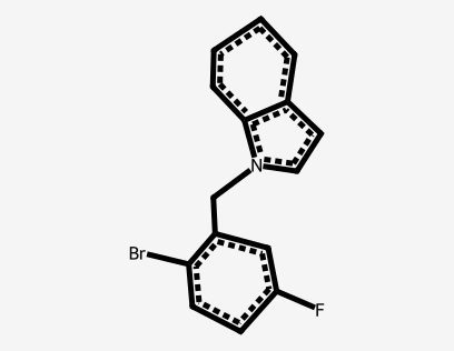 Fc1ccc(Br)c(Cn2ccc3ccccc32)c1